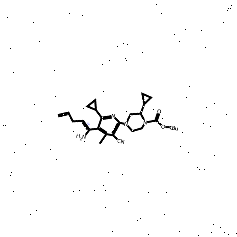 C=CC/C=C(\N)c1c(C2CC2)nc(N2CCN(C(=O)OC(C)(C)C)C(C3CC3)C2)c(C#N)c1C